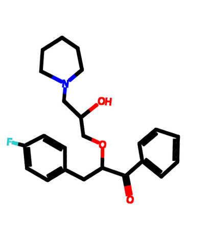 O=C(c1ccccc1)C(Cc1ccc(F)cc1)OCC(O)CN1CCCCC1